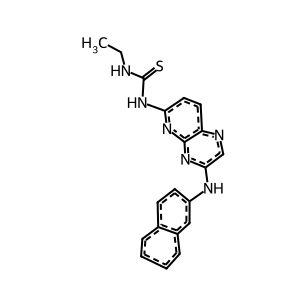 CCNC(=S)Nc1ccc2ncc(Nc3ccc4ccccc4c3)nc2n1